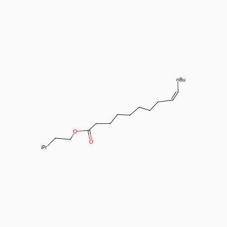 CCCC/C=C\CCCCCCCC(=O)OCCC(C)C